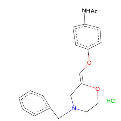 CC(=O)Nc1ccc(OC=C2CN(Cc3ccccc3)CCO2)cc1.Cl